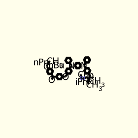 C/C=C\CC(C)(Oc1ccc(N(c2ccccc2)c2ccc(N(c3ccccc3)c3ccc(Oc4ccc(C(=O)c5ccc(OC(C)(CCC)CCCC)cc5)cc4)cc3)cc2)cc1)C(C)C(C)C